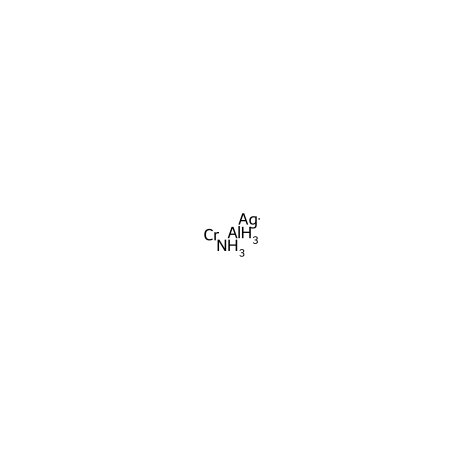 N.[Ag].[AlH3].[Cr]